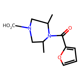 CC1CN(C(=O)O)CC(C)N1C(=O)c1ccco1